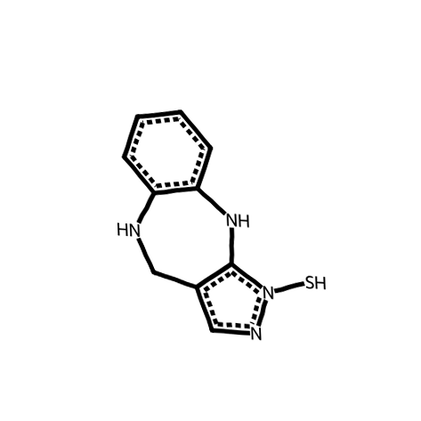 Sn1ncc2c1Nc1ccccc1NC2